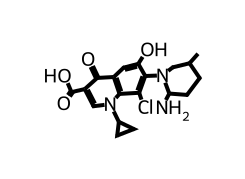 CC1CCC(N)N(c2c(O)cc3c(=O)c(C(=O)O)cn(C4CC4)c3c2Cl)C1